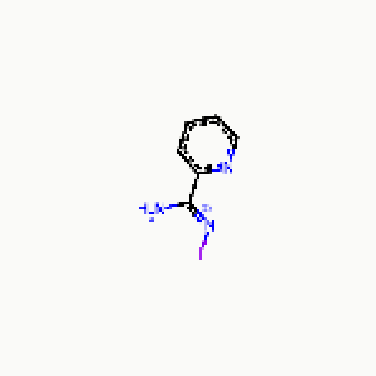 N/C(=N\I)c1ccccn1